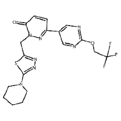 O=c1ccc(-c2cnc(OCC(F)(F)F)nc2)nn1Cc1nnc(N2CCCCC2)s1